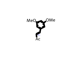 COc1cc(/C=C/C(C)=O)cc(OC)c1